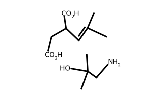 CC(C)(O)CN.CC(C)=CC(CC(=O)O)C(=O)O